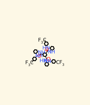 O=C(Nc1ccccc1Nc1ccc(C(F)(F)F)cc1)c1cc(C(=O)Nc2ccccc2Nc2ccc(C(F)(F)F)cc2)cc(C(=O)Nc2ccccc2Nc2ccc(C(F)(F)F)cc2)c1